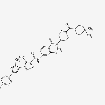 CN(C(=O)c1ccc(NC(=O)c2ncc(-c3cn(-c4ccc(N)cn4)nc3C(F)(F)F)n2C)cc1Cl)C1CCN(C(=O)C2CC[N+](C)(C)CC2)CC1